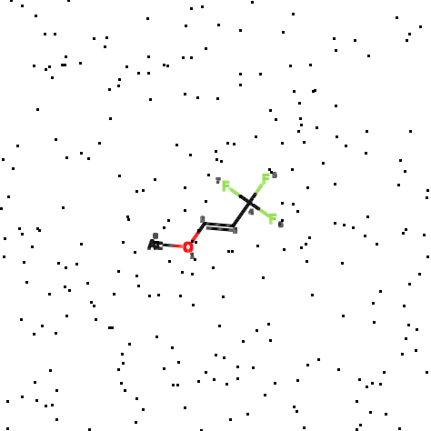 CC(=O)O/C=C/C(F)(F)F